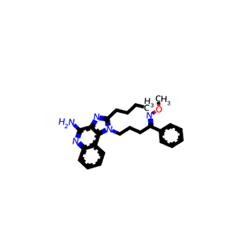 CCCCc1nc2c(N)nc3ccccc3c2n1CCCC(=NOC)c1ccccc1